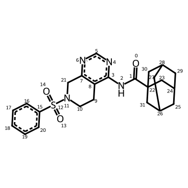 O=C(Nc1ncnc2c1CCN(S(=O)(=O)c1ccccc1)C2)C12CC3CC(CC(C3)C1)C2